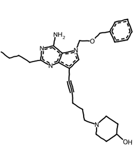 CCCCc1nc(N)c2c(n1)c(C#CCCCN1CCC(O)CC1)cn2COCc1ccccc1